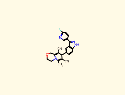 CC1=C(C#N)C(c2ccc3[nH]nc(-c4ccc(F)nc4)c3c2)C(C#N)=C2COCCN12